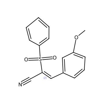 COc1cccc(/C=C(/C#N)S(=O)(=O)c2ccccc2)c1